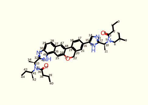 CCCC(=O)N(CC(C)C)[C@@H](C)c1ncc(-c2ccc3c(c2)COc2cc4c(ccc5nc([C@H](C)N(C(=O)CCC)[C@@H](C)CC)[nH]c54)cc2-3)[nH]1